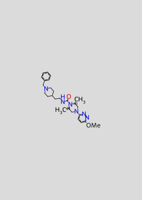 COc1ccc(N2C[C@@H](C)N(C(=O)NCCC3CCN(Cc4ccccc4)CC3)[C@H](C)C2)nn1